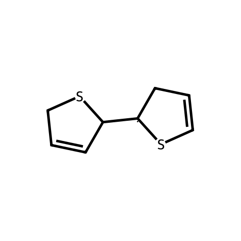 C1=CC([C]2CC=CS2)SC1